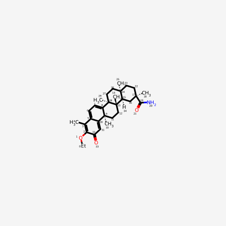 CCOC1=C(C)C2=CC=C3[C@@](C)(CC[C@@]4(C)[C@@H]5C[C@](C)(C(N)=O)CC[C@]5(C)CC[C@]34C)C2=CC1=O